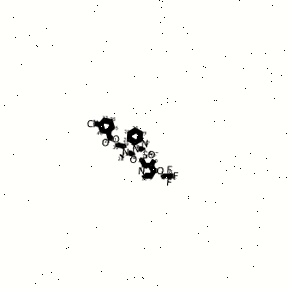 Cc1c(OCC(F)(F)F)ccnc1C[S@@+]([O-])c1nc2ccccc2n1C(=O)N(C)CCOC(=O)c1cccc(Cl)c1